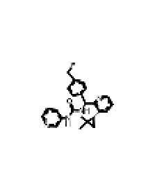 CC1(C)C[C@H]1c1cccnc1[C@@H](NC(=O)Nc1cccnc1)c1ccc(CF)cc1